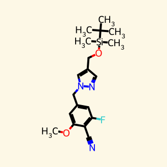 COc1cc(Cn2cc(CO[Si](C)(C)C(C)(C)C)cn2)cc(F)c1C#N